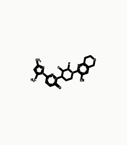 Cc1cc(C)n(-c2ccc(=O)n(C3CCN(c4nc5c(cc4C#N)COCC5)C(F)C3F)n2)n1